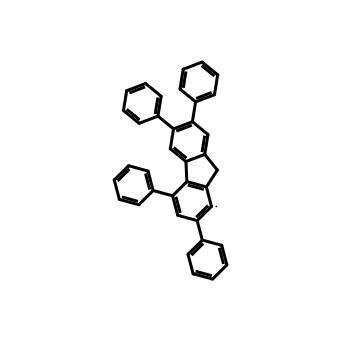 [c]1c(-c2ccccc2)cc(-c2ccccc2)c2c1Cc1cc(-c3ccccc3)c(-c3ccccc3)cc1-2